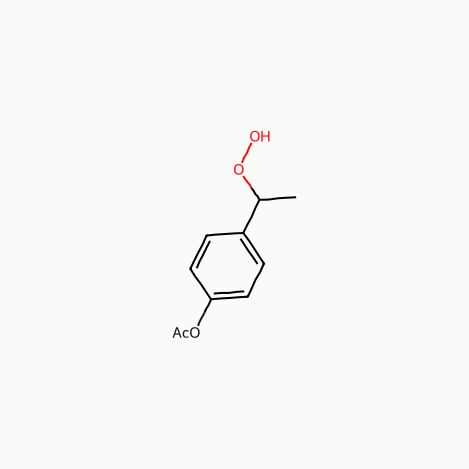 CC(=O)Oc1ccc(C(C)OO)cc1